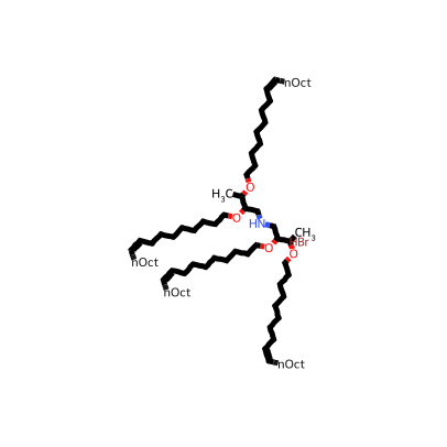 Br.CCCCCCCC/C=C\CCCCCCCCOC(C)C(CNCC(OCCCCCCCC/C=C\CCCCCCCC)C(C)OCCCCCCCC/C=C\CCCCCCCC)OCCCCCCCC/C=C\CCCCCCCC